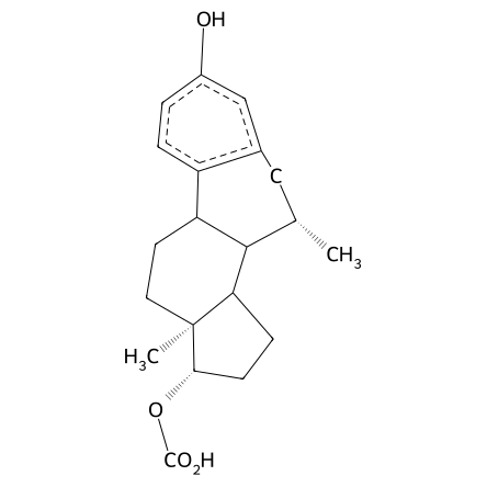 C[C@H]1Cc2cc(O)ccc2C2CC[C@@]3(C)C(CC[C@@H]3OC(=O)O)C21